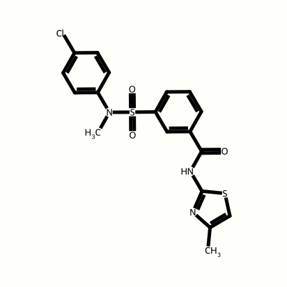 Cc1csc(NC(=O)c2cccc(S(=O)(=O)N(C)c3ccc(Cl)cc3)c2)n1